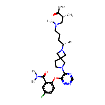 CCN(C(=O)c1cc(F)ccc1Oc1nncnc1N1CCC2(C1)CN([C@H](CCCN(C)C[C@@H](C)C(=O)NC)C(C)C)C2)C(C)C